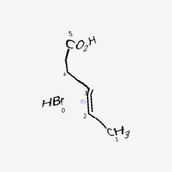 Br.C/C=C/CC(=O)O